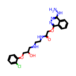 NNc1nnc(OCC(=O)NCCNCC(O)COc2ccccc2Cl)c2ccccc12